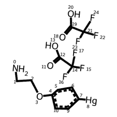 NCCOc1cc[c]([Hg])cc1.O=C(O)C(F)(F)F.O=C(O)C(F)(F)F